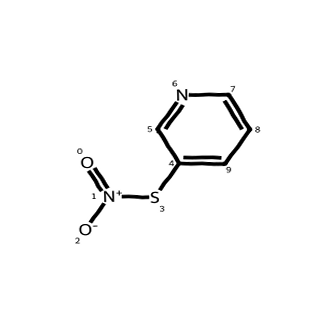 O=[N+]([O-])Sc1[c]nccc1